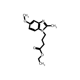 CCOC(=O)CCCn1c(C)nc2cc(OC)ccc21